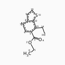 CCOC(=O)c1cnc2ccsc2c1CI